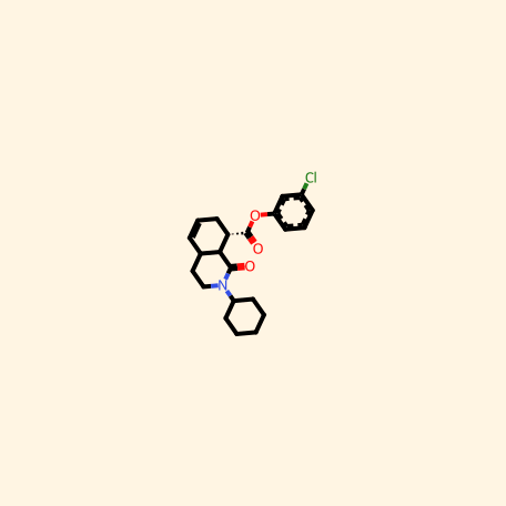 O=C(Oc1cccc(Cl)c1)[C@H]1CC=CC2CCN(C3CCCCC3)C(=O)C21